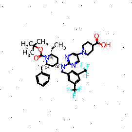 CC[C@@H]1C[C@H](N(Cc2cc(C(F)(F)F)cc(C(F)(F)F)c2)c2ncc(N3CCC(C(=O)O)CC3)cn2)C[C@H](Cc2ccccc2)N1C(=O)OC(C)(C)C